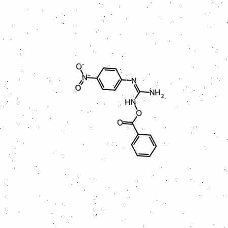 NC(=Nc1ccc([N+](=O)[O-])cc1)NOC(=O)c1ccccc1